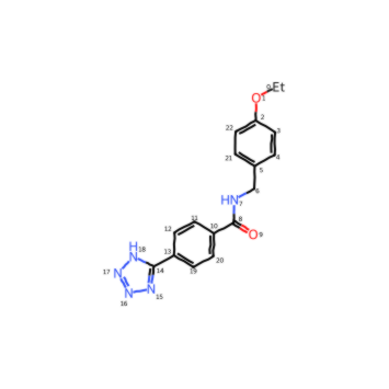 CCOc1ccc(CNC(=O)c2ccc(-c3nnn[nH]3)cc2)cc1